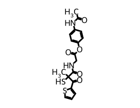 CC(=O)Nc1ccc(OC(=O)CNC(=O)C(C)(S)C(=O)c2cccs2)cc1